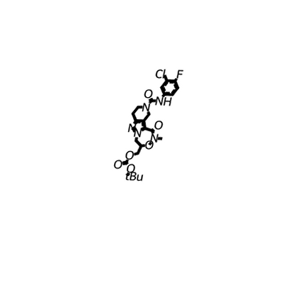 CN1OC(COC(=O)OC(C)(C)C)Cn2nc3c(c2C1=O)CN(C(=O)Nc1ccc(F)c(Cl)c1)CC3